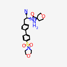 N#C[C@H](Cc1ccc(-c2ccc(S(=O)(=O)N3CCOCC3)cc2)cc1)NC(=O)C1(N)CCOCC1